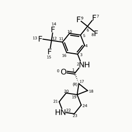 O=C(Nc1cc(C(F)(F)F)cc(C(F)(F)F)c1)[C@@H]1CC12CCNCC2